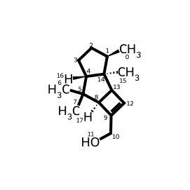 C[C@@H]1CC[C@H]2C(C)(C)[C@@H]3C(CO)=CC3[C@]12C